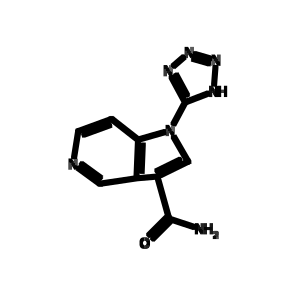 NC(=O)c1cn(-c2nnn[nH]2)c2ccncc12